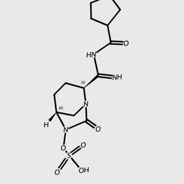 N=C(NC(=O)C1CCCC1)[C@@H]1CC[C@@H]2CN1C(=O)N2OS(=O)(=O)O